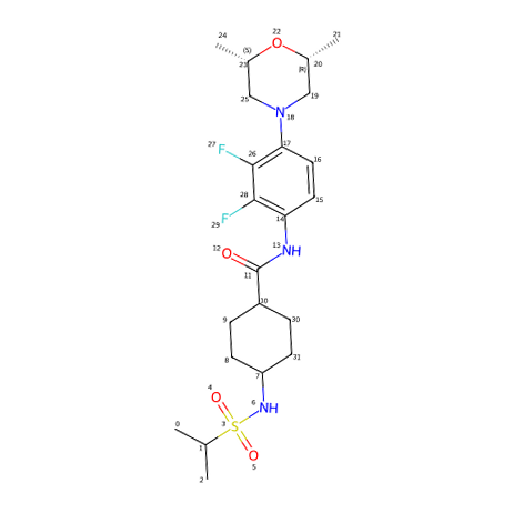 CC(C)S(=O)(=O)NC1CCC(C(=O)Nc2ccc(N3C[C@@H](C)O[C@@H](C)C3)c(F)c2F)CC1